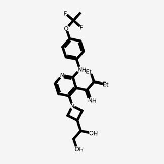 CCC(CC)C(=N)c1c(N2CC(C(O)CO)C2)ccnc1Nc1ccc(OC(C)(F)F)cc1